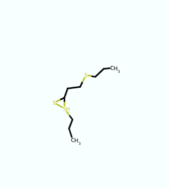 CCCSCCC1S[SH]1CCC